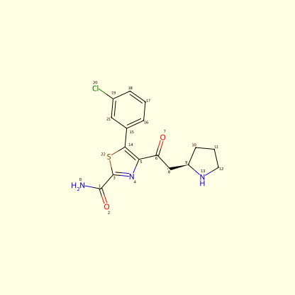 NC(=O)c1nc(C(=O)[CH][C@H]2CCCN2)c(-c2cccc(Cl)c2)s1